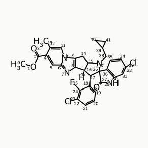 COC(=O)c1cc2nc3c(n2cc1C)CC1[C@@H]3[C@H](c2cccc(Cl)c2F)[C@]2(C(=O)Nc3cc(Cl)ccc32)N1CC1CC1